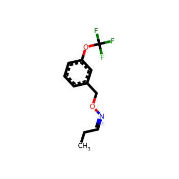 CC/[C]=N\OCc1cccc(OC(F)(F)F)c1